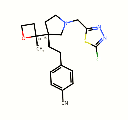 N#Cc1ccc(CC[C@@]2([C@@]3(C(F)(F)F)CCO3)CCN(Cc3nnc(Cl)s3)C2)cc1